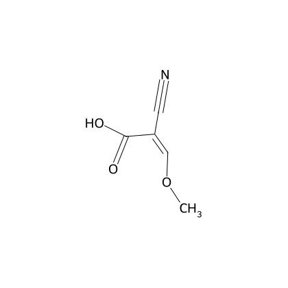 COC=C(C#N)C(=O)O